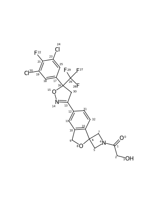 O=C(CO)N1CC2(C1)OCc1cc(C3=NOC(c4cc(Cl)c(F)c(Cl)c4)(C(F)(F)F)C3)ccc12